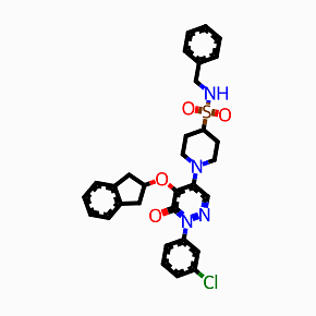 O=c1c(OC2Cc3ccccc3C2)c(N2CCC(S(=O)(=O)NCc3ccccc3)CC2)cnn1-c1cccc(Cl)c1